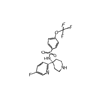 O=S(=O)(NC1(c2ccc(F)cn2)CCNCC1)c1ccc(OC(F)(F)F)cc1